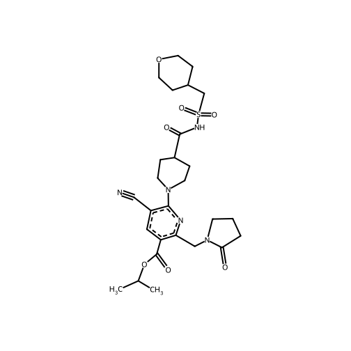 CC(C)OC(=O)c1cc(C#N)c(N2CCC(C(=O)NS(=O)(=O)CC3CCOCC3)CC2)nc1CN1CCCC1=O